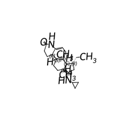 CC[C@@H]1C[C@H](NC2CC2)[C@@]2(C)CC[C@H]3[C@@H](CC=C4NC(=O)CC[C@@]43C)[C@H]12